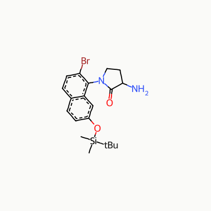 CC(C)(C)[Si](C)(C)Oc1ccc2ccc(Br)c(N3CCC(N)C3=O)c2c1